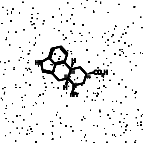 CCCN1C[C@@H](C(=O)O)C[C@@H]2c3cccc4[nH]cc(c34)C[C@H]21